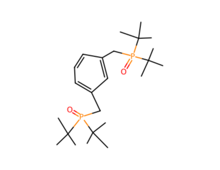 CC(C)(C)P(=O)(Cc1cccc(CP(=O)(C(C)(C)C)C(C)(C)C)c1)C(C)(C)C